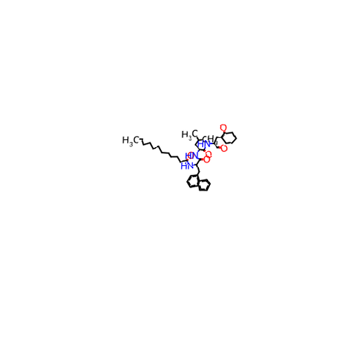 CCCCCCCCCCCC(=O)NC(Cc1cccc2ccccc12)C(=O)NC(CC(C)C)C(=O)NC(C=O)C[C@@H]1CCCCC1=O